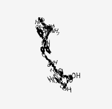 CCC(=O)NCCNC(=O)/N=C(/N)NCCC[C@@H](NC(=O)C(c1ccccc1)c1cccc(OCCCCNC(=O)CCCCCNC(C=O)N2CCN(CC(=O)O)CCN(CC(=O)O)CCN(CC(=O)O)CC2)c1)C(=O)NCc1ccc(O)cc1